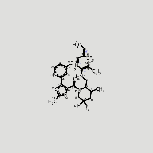 C\C=C(/C=N\C(NCC1C(C)CC(F)(F)CN1C(=O)c1nc(C)sc1-c1cc(C)ccn1)=C(\C)CC)C(F)(F)F